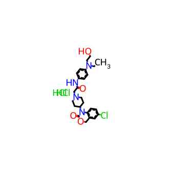 CCN(CCO)c1ccc(NC(=O)CN2CCC(N3C(=O)OCc4cc(Cl)ccc43)CC2)cc1.Cl.Cl